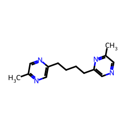 Cc1cnc(CCCCc2cncc(C)n2)cn1